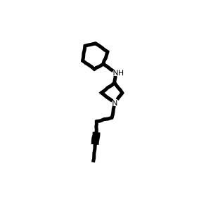 CC#CCCN1CC(NC2CCCCC2)C1